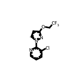 FC(F)(F)COc1c[c]n(-c2ncccc2Cl)n1